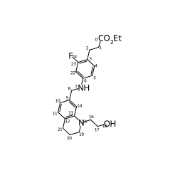 CCOC(=O)CCc1ccc(NCc2ccc3c(c2)N(CCO)CCC3)cc1F